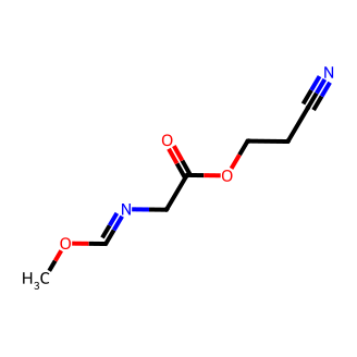 COC=NCC(=O)OCCC#N